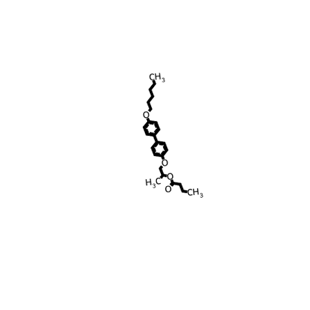 CCCCCCOc1ccc(-c2ccc(OCC(C)OC(=O)CCC)cc2)cc1